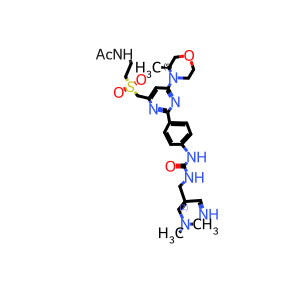 CC(=O)NCCS(=O)(=O)Cc1cc(N2CCOC[C@@H]2C)nc(-c2ccc(NC(=O)NC/C(C=N)=C/N(C)C)cc2)n1